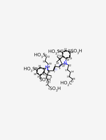 CC1(CCCS(=O)(=O)O)C(/C=C/C=C2/N(CCCCCC(=O)O)c3cc(S(=O)(=O)O)cc(S(=O)(=O)O)c3C2(C)C)=[N+](CCCS(=O)(=O)O)c2cc(S(=O)(=O)O)cc(S(=O)(=O)O)c21